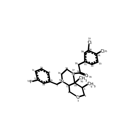 CC1COCC2N(Cc3cccc(F)c3)CCN(C(=O)Cc3ccc(Cl)c(Cl)c3)C12C